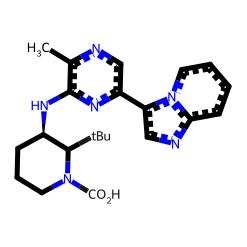 Cc1ncc(-c2cnc3ccccn23)nc1N[C@@H]1CCCN(C(=O)O)C1C(C)(C)C